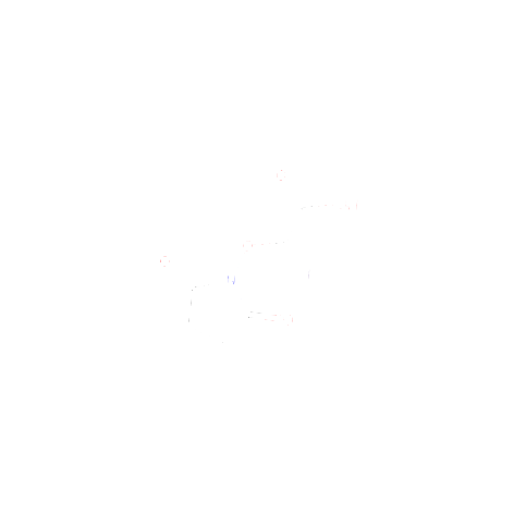 O=C(O)C(I)ON1C(=O)CCC1=O